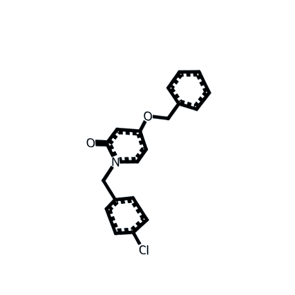 O=c1cc(OCc2ccccc2)ccn1Cc1ccc(Cl)cc1